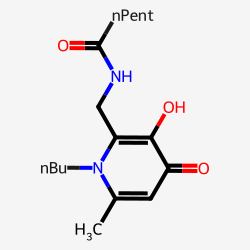 CCCCCC(=O)NCc1c(O)c(=O)cc(C)n1CCCC